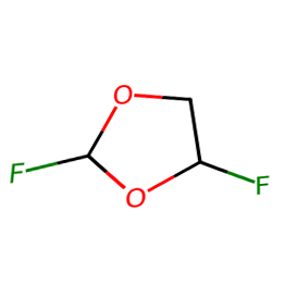 FC1COC(F)O1